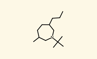 CCCC1CCC(C)CN(C(C)(C)C)C1